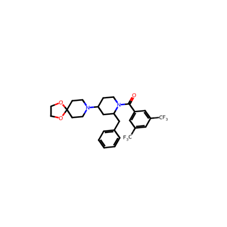 O=C(c1cc(C(F)(F)F)cc(C(F)(F)F)c1)N1CCC(N2CCC3(CC2)OCCO3)CC1Cc1ccccc1